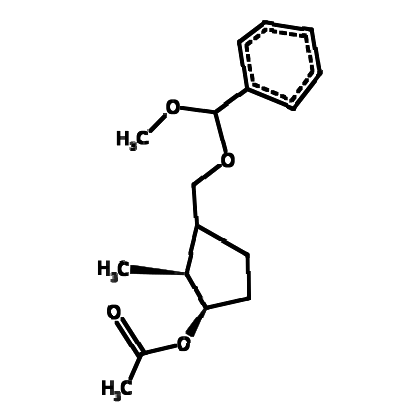 COC(OCC1CC[C@@H](OC(C)=O)[C@H]1C)c1ccccc1